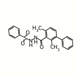 Cc1ccc(-c2ccccc2)c(C)c1C(=O)NNS(=O)(=O)c1ccccc1